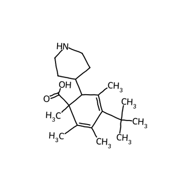 CC1=C(C)C(C)(C(=O)O)C(C2CCNCC2)C(C)=C1C(C)(C)C